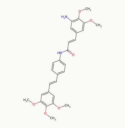 COc1cc(/C=C/C(=O)Nc2ccc(C=Cc3cc(OC)c(OC)c(OC)c3)cc2)cc(N)c1OC